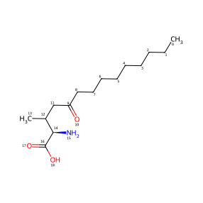 CCCCCCCCCC(=O)CC(C)[C@@H](N)C(=O)O